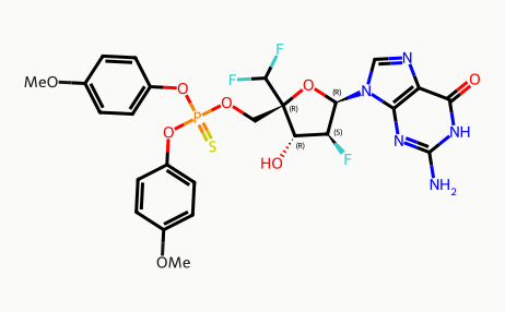 COc1ccc(OP(=S)(OC[C@@]2(C(F)F)O[C@@H](n3cnc4c(=O)[nH]c(N)nc43)[C@@H](F)[C@@H]2O)Oc2ccc(OC)cc2)cc1